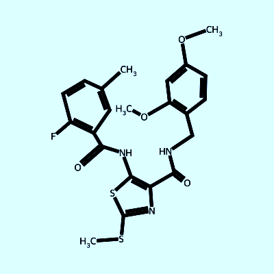 COc1ccc(CNC(=O)c2nc(SC)sc2NC(=O)c2cc(C)ccc2F)c(OC)c1